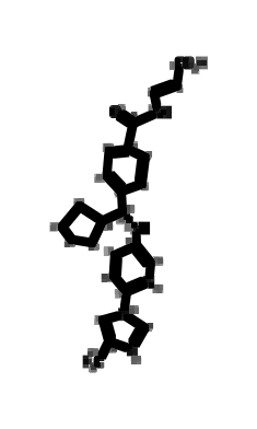 O=C(O)C=CNC(=O)c1ccc([C@H](Nc2ccc(-n3cnc(C(F)(F)F)c3)nc2)C2CCCC2)cc1